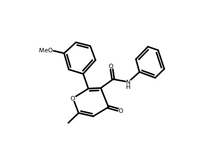 COc1cccc(-c2oc(C)cc(=O)c2C(=O)Nc2ccccc2)c1